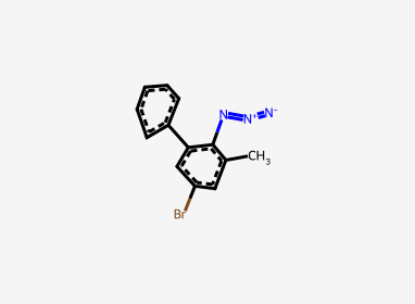 Cc1cc(Br)cc(-c2ccccc2)c1N=[N+]=[N-]